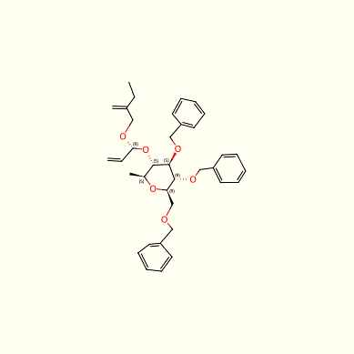 C=C[C@H](OCC(=C)CC)O[C@@H]1[C@@H](OCc2ccccc2)[C@H](OCc2ccccc2)[C@@H](COCc2ccccc2)O[C@H]1C